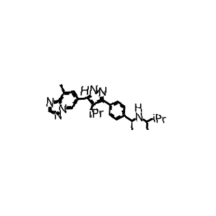 Cc1cc(-c2[nH]nc(-c3ccc([C@H](C)NC(C)C(C)C)cc3)c2C(C)C)cn2ncnc12